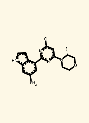 C[C@@H]1COCCN1c1cc(Cl)nc(-c2cc(P)cc3[nH]ccc23)n1